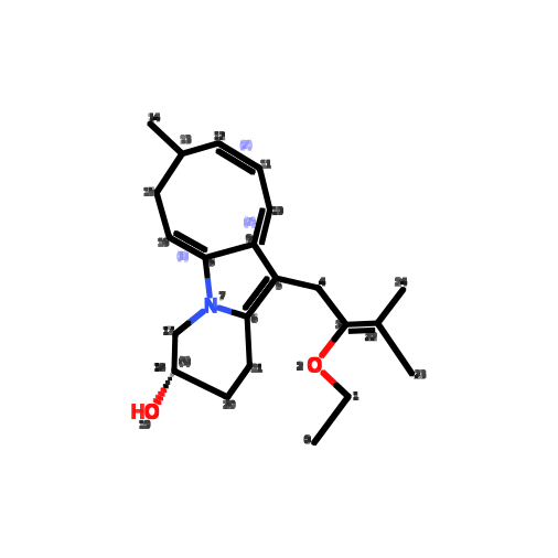 CCOC(Cc1c2n(c3/c1=C\C=C/C(C)C\C=3)C[C@@H](O)CC2)=C(C)C